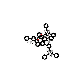 N#Cc1ccccc1-c1ccc2c(c1)c1ccccc1n2-c1ccc(-c2nc(-c3ccccc3)nc(-c3ccccc3)n2)cc1-c1cccc(-c2cc(-c3nc(-c4ccccc4)nc(-c4ccccc4)n3)ccc2-n2c3ccccc3c3cc(-c4ccccc4C#N)ccc32)c1